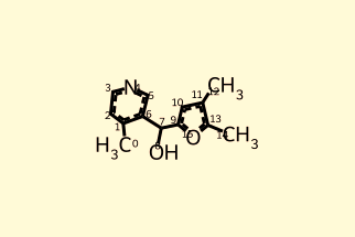 Cc1ccncc1C(O)c1cc(C)c(C)o1